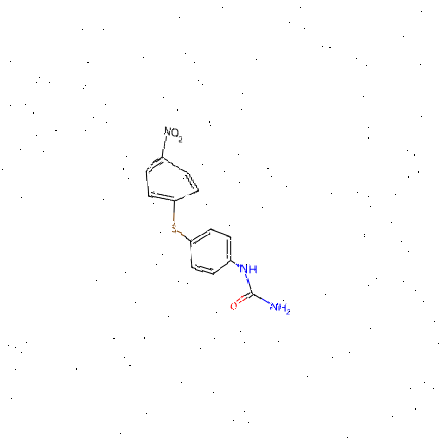 NC(=O)Nc1ccc(Sc2ccc([N+](=O)[O-])cc2)cc1